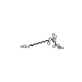 CCCCCCCC/C=C/CCCCCCCC(=O)OC(C)CNC(=O)OC(C)(C)C